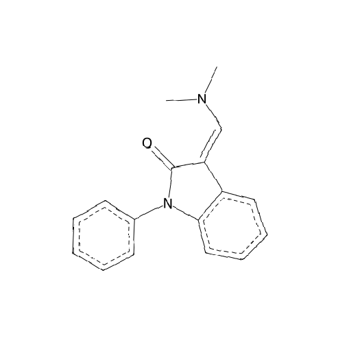 CN(C)C=C1C(=O)N(c2ccccc2)c2ccccc21